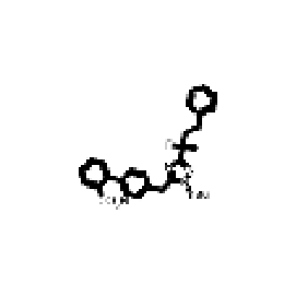 CCCCn1nc(C(F)(F)CCc2ccccc2)nc1Cc1ccc(-c2ccccc2C(=O)O)cc1